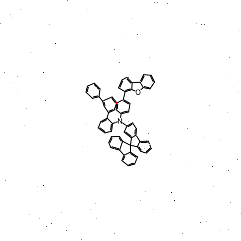 c1ccc(-c2cccc(-c3ccccc3N(c3ccc(-c4cccc5c4oc4ccccc45)cc3)c3ccc4c(c3)C3(c5ccccc5-c5ccccc53)c3ccccc3-4)c2)cc1